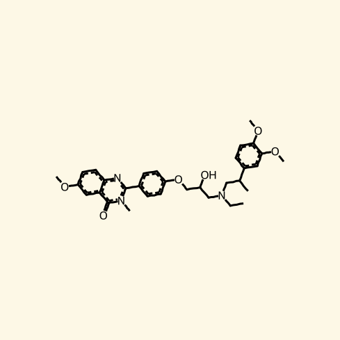 CCN(CC(O)COc1ccc(-c2nc3ccc(OC)cc3c(=O)n2C)cc1)CC(C)c1ccc(OC)c(OC)c1